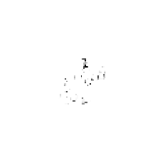 CCCOc1ccc2c(c1)C(=O)c1cccc(OCC(C)N3CCCCC3)c1-2.CCCOc1ccc2c(c1)C(=O)c1cccc(OCCN3CCCCC3)c1-2